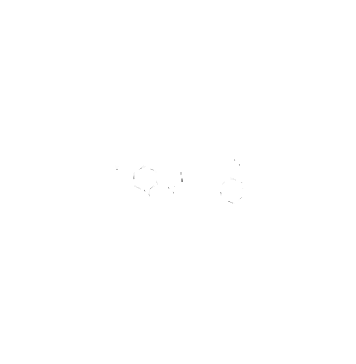 N#Cc1ccccc1OCC(=O)Nc1ccc(Br)cn1